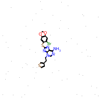 Nc1ncn(CCc2ccsc2)c2nc(Sc3cc4c(cc3Br)OCO4)nc1-2